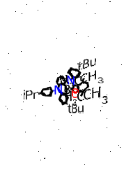 CC(C)c1ccc(N2c3ccc(C(C)(C)C)cc3B3c4oc5c(c4N(c4ccc(C(C)(C)C)cc4)c4cccc2c43)C(C)(C)CCC5(C)C)cc1